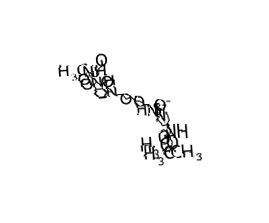 CNC(=O)C(CCC=O)N1C(=O)c2cccc(NCCOCCOCCN[S+]([O-])N3CCC(NC(=O)OC(C)(C)C)CC3)c2C1=O